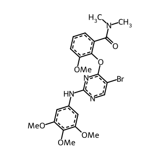 COc1cc(Nc2ncc(Br)c(Oc3c(OC)cccc3C(=O)N(C)C)n2)cc(OC)c1OC